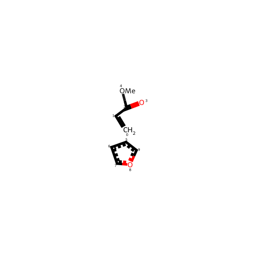 C=CC(=O)OC.c1ccoc1